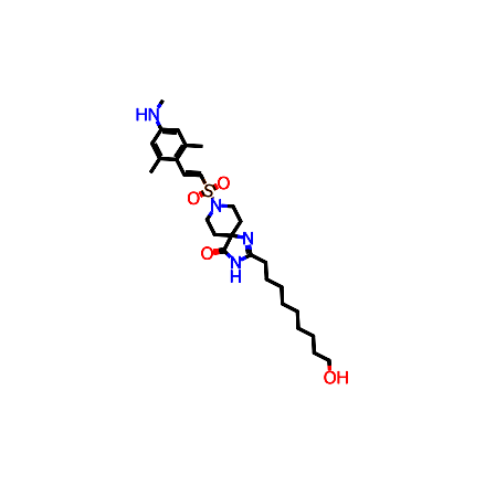 CNc1cc(C)c(/C=C/S(=O)(=O)N2CCC3(CC2)N=C(CCCCCCCCCO)NC3=O)c(C)c1